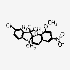 COc1cc([N+](=O)[O-])cc2c1OC1(C=C2)N(C)c2ccc(Cl)cc2C1(C)C